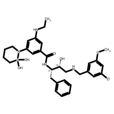 CCNc1cc(C(=O)N[C@@H](Cc2ccccc2)[C@H](O)CNCc2cc(Cl)cc(OC)c2)cc(N2CCCCS2(O)O)c1